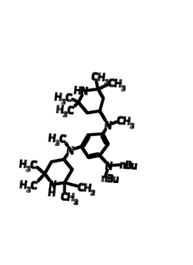 CCCCN(CCCC)c1cc(N(C)C2CC(C)(C)NC(C)(C)C2)cc(N(C)C2CC(C)(C)NC(C)(C)C2)c1